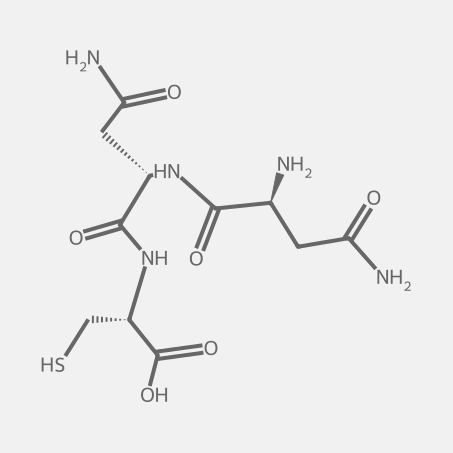 NC(=O)C[C@H](NC(=O)[C@@H](N)CC(N)=O)C(=O)N[C@@H](CS)C(=O)O